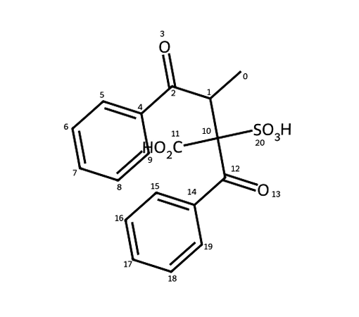 CC(C(=O)c1ccccc1)C(C(=O)O)(C(=O)c1ccccc1)S(=O)(=O)O